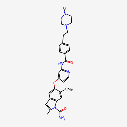 CCN1CCN(CCc2ccc(C(=O)Nc3cc(Oc4cc5cc(C)n(C(N)=O)c5cc4OC)ccn3)cc2)CC1